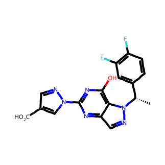 C[C@@H](c1ccc(F)c(F)c1)n1ncc2nc(-n3cc(C(=O)O)cn3)nc(O)c21